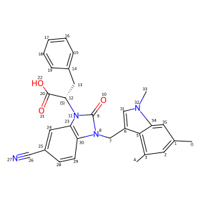 Cc1cc(C)c2c(Cn3c(=O)n([C@@H](Cc4ccccc4)C(=O)O)c4cc(C#N)ccc43)cn(C)c2c1